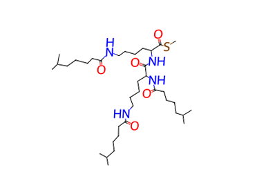 CSC(=O)C(CCCCNC(=O)CCCCC(C)C)NC(=O)C(CCCCNC(=O)CCCCC(C)C)NC(=O)CCCCC(C)C